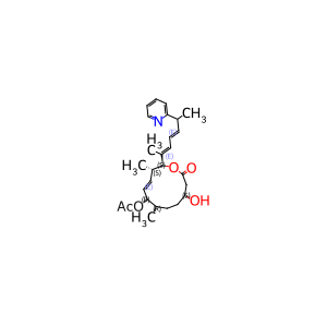 CC(=O)O[C@H]1/C=C/[C@H](C)[C@@H](/C(C)=C/C=C/C(C)c2ccccn2)OC(=O)C[C@@H](O)CC[C@H]1C